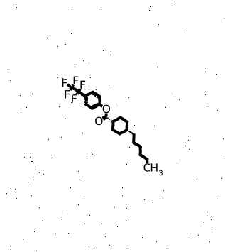 CCCCCC[C@H]1CC[C@H](C(=O)Oc2ccc(C(F)(F)C(F)(F)F)cc2)CC1